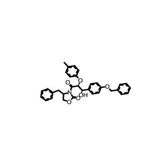 Cc1ccc(O[C@H](C(=O)N2C(=O)OCC2Cc2ccccc2)[C@H](O)c2ccc(OCc3ccccc3)cc2)cc1